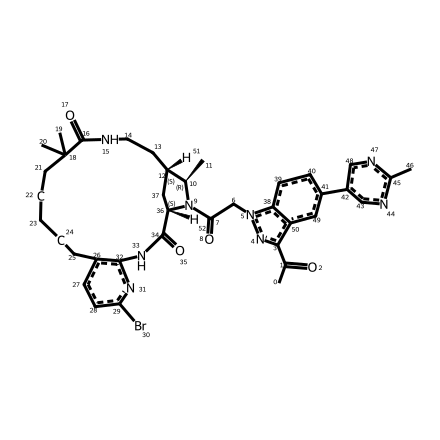 CC(=O)c1nn(CC(=O)N2[C@H](C)[C@H]3CCNC(=O)C(C)(C)CCCCCc4ccc(Br)nc4NC(=O)[C@@H]2C3)c2ccc(-c3cnc(C)nc3)cc12